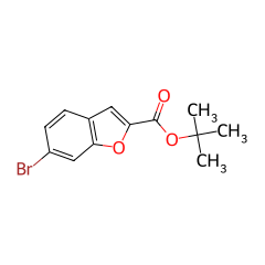 CC(C)(C)OC(=O)c1cc2ccc(Br)cc2o1